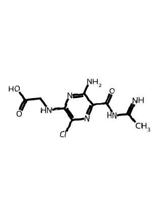 CC(=N)NC(=O)c1nc(Cl)c(NCC(=O)O)nc1N